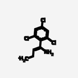 [CH2]CC=C(N)c1c(Cl)cc(Cl)cc1Cl